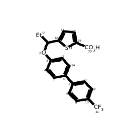 CCC(Oc1ccc(-c2ccc(C(F)(F)F)cc2)cc1)c1ccc(C(=O)O)s1